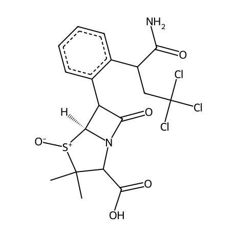 CC1(C)C(C(=O)O)N2C(=O)C(c3ccccc3C(CC(Cl)(Cl)Cl)C(N)=O)[C@@H]2[S+]1[O-]